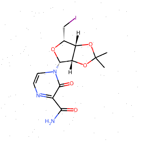 CC1(C)O[C@@H]2[C@H](O1)[C@H](n1ccnc(C(N)=O)c1=O)O[C@@H]2CI